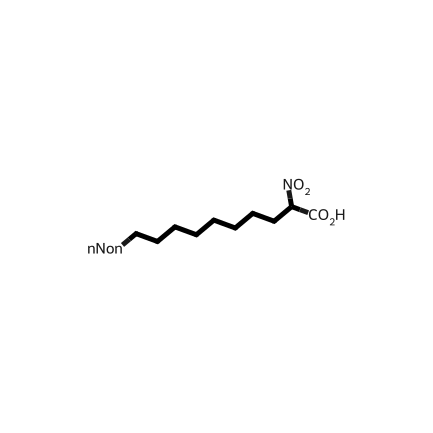 CCCCCCCCCCCCCCCCCC(C(=O)O)[N+](=O)[O-]